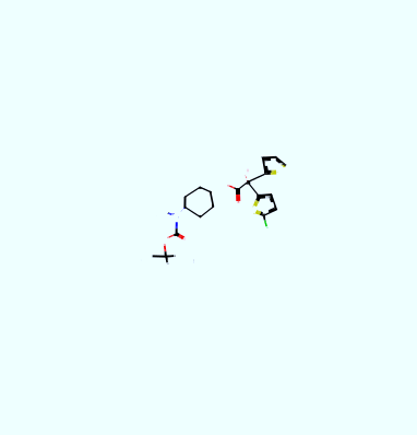 CN(C(=O)OC(C)(C)C)[C@H]1CC[C@H](OC(=O)[C@](O)(c2cccs2)c2ccc(Cl)s2)CC1